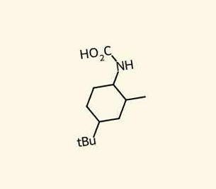 CC1CC(C(C)(C)C)CCC1NC(=O)O